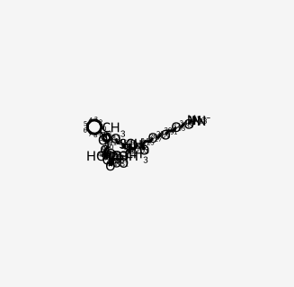 CC1CCCCCCCC1[C@H]1CC(OCSSC(C)(C)CNC(=O)CCOCCOCCOCCON=[N+]=[N-])[C@@H](COP(=O)(O)OP(=O)(O)OP(=O)(O)O)O1